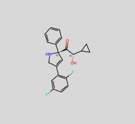 O=C([C@@H](O)C1CC1)[C@@]1(c2ccccc2)C=C(c2cc(F)ccc2F)CN1